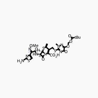 C=C1S[C@@H]2[C@H](NC(=O)/C(=N\OC)c3csc(N)n3)C(=O)N2C(C(=O)O)=C1CSc1nc(=O)c(OCOC(=O)C(C)(C)C)nn1C